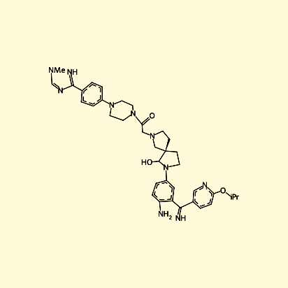 CN/C=N\C(=N)c1ccc(N2CCN(C(=O)CN3CC[C@]4(CCN(c5ccc(N)c(C(=N)c6ccc(OC(C)C)nc6)c5)C4O)C3)CC2)cc1